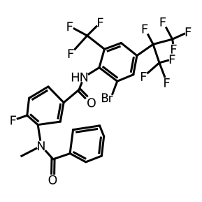 CN(C(=O)c1ccccc1)c1cc(C(=O)Nc2c(Br)cc(C(F)(C(F)(F)F)C(F)(F)F)cc2C(F)(F)F)ccc1F